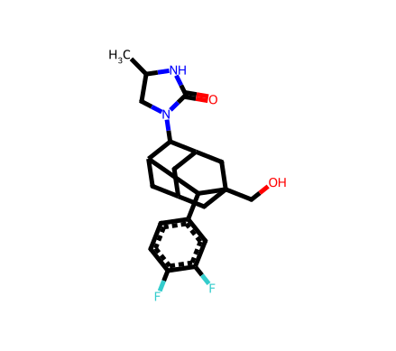 CC1CN(C2C3CC4CC2C(c2ccc(F)c(F)c2)C(CO)(C4)C3)C(=O)N1